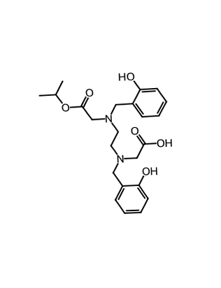 CC(C)OC(=O)CN(CCN(CC(=O)O)Cc1ccccc1O)Cc1ccccc1O